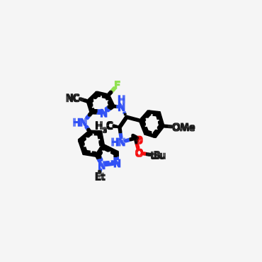 CCn1ncc2cc(Nc3nc(N[C@H](c4ccc(OC)cc4)[C@H](C)NC(=O)OC(C)(C)C)c(F)cc3C#N)ccc21